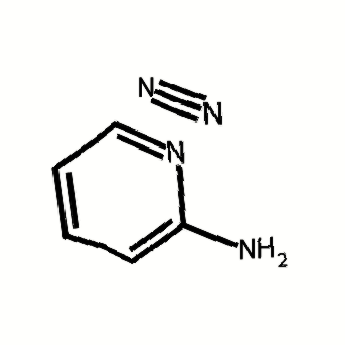 N#N.Nc1ccccn1